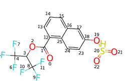 O=C(OC(C(F)(F)F)C(F)(F)F)c1cccc2cc(O[SH](=O)=O)ccc12